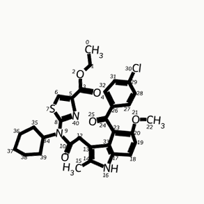 CCOC(=O)c1csc(N(C(=O)Cc2c(C)[nH]c3ccc(OC)c(C(=O)c4ccc(Cl)cc4)c23)C2CCCCC2)n1